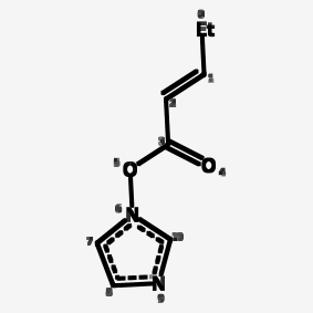 CCC=CC(=O)On1ccnc1